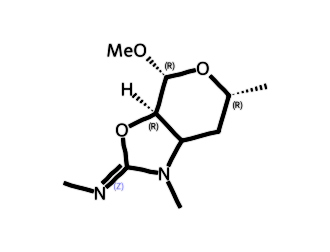 C/N=C1\O[C@@H]2C(C[C@@H](C)O[C@H]2OC)N1C